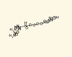 Nc1nc2cc(-c3nn(CCCCNC(=O)CCOCCOCCOCCOCCC(=O)CN4CCN(c5ncc6c(n5)CCNC6)CC4)c4ncnc(N)c34)ccc2o1